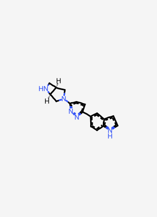 c1cc2cc(-c3ccc(N4C[C@@H]5CN[C@@H]5C4)nn3)ccc2[nH]1